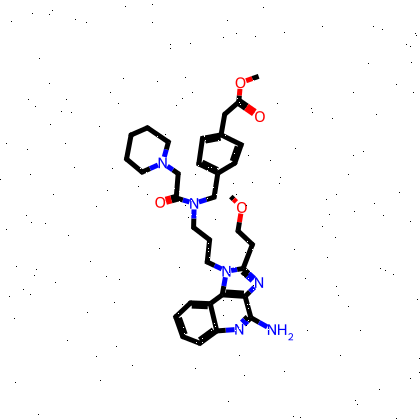 COCCc1nc2c(N)nc3ccccc3c2n1CCCN(Cc1ccc(CC(=O)OC)cc1)C(=O)CN1CCCCC1